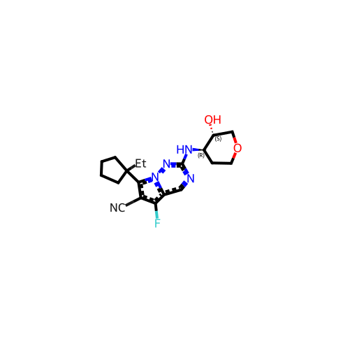 CCC1(c2c(C#N)c(F)c3cnc(N[C@@H]4CCOC[C@H]4O)nn23)CCCC1